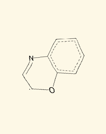 [CH]1C=Nc2ccccc2O1